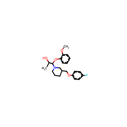 COc1ccccc1OC(C(C)O)N1CCCC(COc2ccc(F)cc2)C1